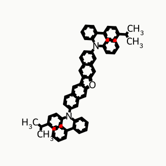 CC(C)c1ccc(-c2ccccc2N(c2ccccc2)c2ccc3cc4c(cc3c2)oc2cc3cc(N(c5ccc(C(C)C)cc5)c5ccccc5-c5ccccc5)ccc3cc24)cc1